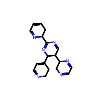 C1=CCC(C2=NC(C3=CC=NCC3)C(C3CN=CC=N3)C=N2)N=C1